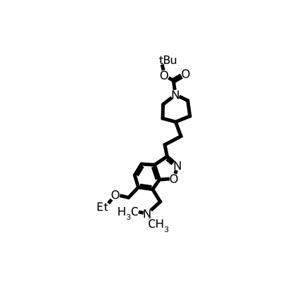 CCOCc1ccc2c(CCC3CCN(C(=O)OC(C)(C)C)CC3)noc2c1CN(C)C